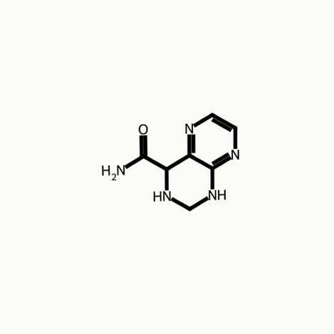 NC(=O)C1NCNc2nccnc21